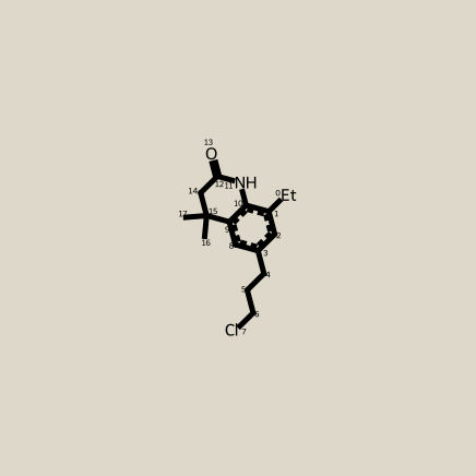 CCc1cc(CCCCl)cc2c1NC(=O)CC2(C)C